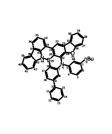 CCCCc1cccc(N2c3cc(-c4ccccc4)ccc3B3c4c(cc5c(oc6ccccc65)c42)-c2cccc4c5ccccc5n3c24)c1